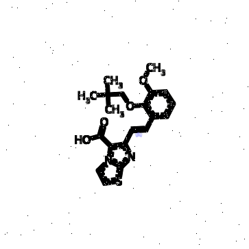 COc1cccc(/C=C/c2nc3sccn3c2C(=O)O)c1OCC(C)(C)C